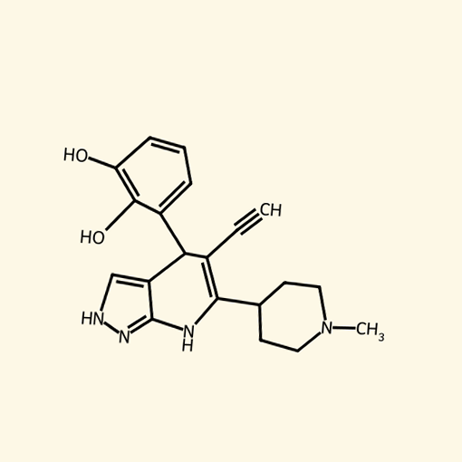 C#CC1=C(C2CCN(C)CC2)Nc2n[nH]cc2C1c1cccc(O)c1O